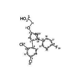 O=C(O)COc1cc(-c2ccc(Cl)cc2Cl)n(-c2ccc(F)cc2)n1